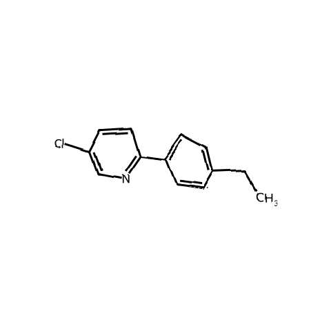 CCc1[c]cc(-c2ccc(Cl)cn2)cc1